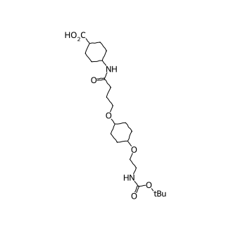 CC(C)(C)OC(=O)NCCOC1CCC(OCCCC(=O)NC2CCC(C(=O)O)CC2)CC1